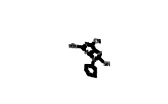 CCCCc1nc(C#N)c2nc(S)n(-c3ccccc3)c2n1